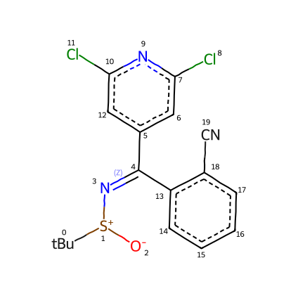 CC(C)(C)[S+]([O-])/N=C(/c1cc(Cl)nc(Cl)c1)c1ccccc1C#N